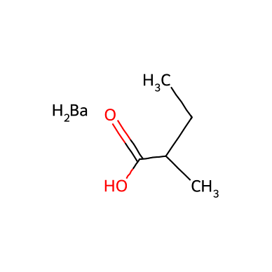 CCC(C)C(=O)O.[BaH2]